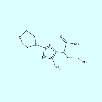 [NH]C(=S)C(CCO)n1nc(N2CCOCC2)nc1N